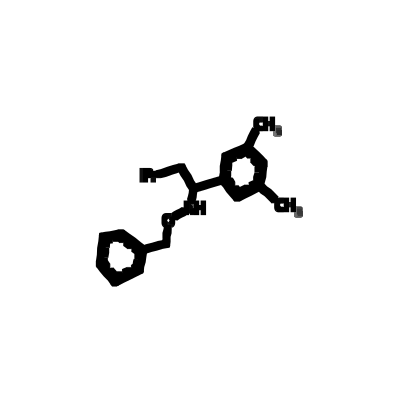 Cc1cc(C)cc(C(CC(C)C)NOCc2ccccc2)c1